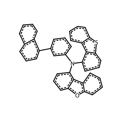 c1cc(-c2cccc3ccccc23)cc(N(c2cccc3oc4ccccc4c23)c2cccc3sc4ccccc4c23)c1